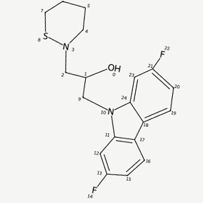 OC(CN1CCCCS1)Cn1c2cc(F)ccc2c2ccc(F)cc21